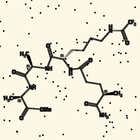 COC(=O)[C@@H](C)NC(=O)[C@@H](C)NC(=O)[C@H](CCCCNC(=O)C(F)(F)F)NC(=O)CC[C@@H](C)C(N)=O